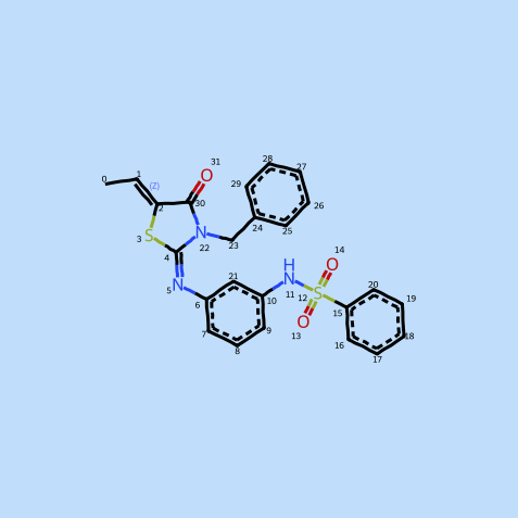 C/C=C1\SC(=Nc2cccc(NS(=O)(=O)c3ccccc3)c2)N(Cc2ccccc2)C1=O